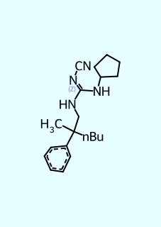 CCCCC(C)(CN/C(=N/C#N)NC1CCCC1)c1ccccc1